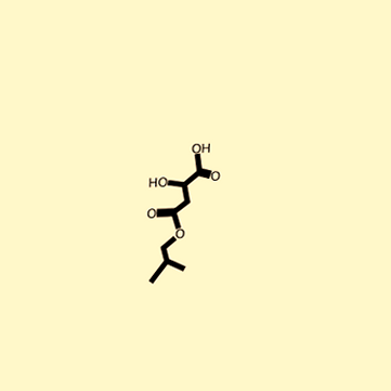 CC(C)COC(=O)CC(O)C(=O)O